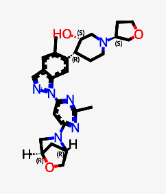 Cc1nc(N2C[C@H]3C[C@@H]2CO3)cc(-n2ncc3cc(C)c([C@H]4CCN([C@H]5CCOC5)C[C@H]4O)cc32)n1